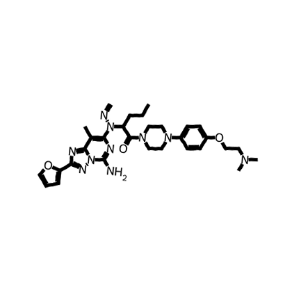 C=NN(c1nc(N)n2nc(-c3ccco3)nc2c1C)C(CCC)C(=O)N1CCN(c2ccc(OCCN(C)C)cc2)CC1